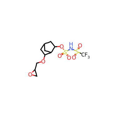 O=S(=O)(NS(=O)(=O)C(F)(F)F)OC1CC2CC(OCC3CO3)C1C2